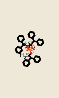 c1ccc(C([SiH2]OP(O[SiH2]C(c2ccccc2)c2ccccc2)O[SiH2]C(c2ccccc2)c2ccccc2)c2ccccc2)cc1